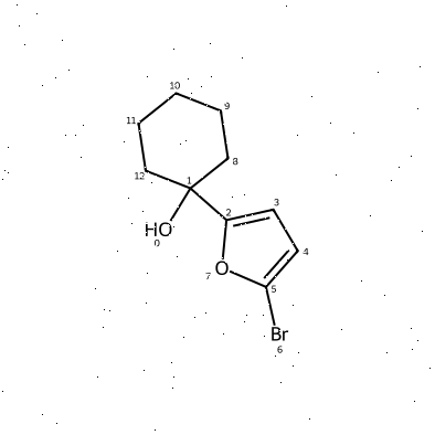 OC1(c2ccc(Br)o2)CCCCC1